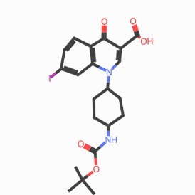 CC(C)(C)OC(=O)NC1CCC(n2cc(C(=O)O)c(=O)c3ccc(I)cc32)CC1